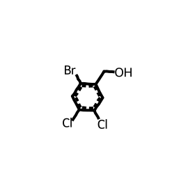 OCc1cc(Cl)c(Cl)cc1Br